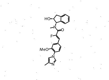 COc1cc(/C=C(\F)C(=O)N(C)[C@@H]2c3ccccc3C[C@@H]2O)ccc1-n1cnc(C)c1